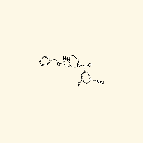 N#Cc1cc(F)cc(C(=O)N2CCn3nc(OCc4ccccc4)cc3C2)c1